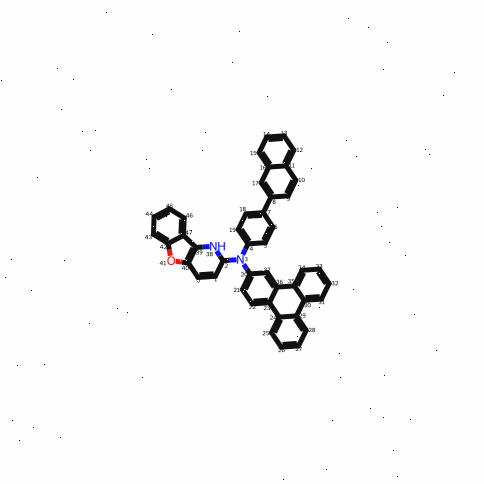 C1=CC(N(c2ccc(-c3ccc4ccccc4c3)cc2)c2ccc3c4ccccc4c4ccccc4c3c2)Nc2c1oc1ccccc21